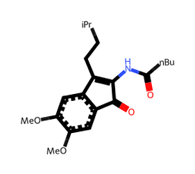 CCCCC(=O)NC1=C(CCC(C)C)c2cc(OC)c(OC)cc2C1=O